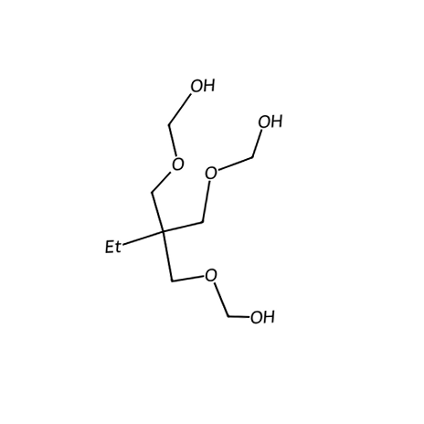 CCC(COCO)(COCO)COCO